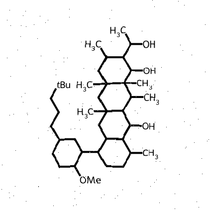 COC1CCC(CCCC(C)(C)C)CC1C1CCC(C)C2C(O)C3C(C)C4(C)C(O)C(C(C)O)C(C)CC4(C)CC3(C)CC12